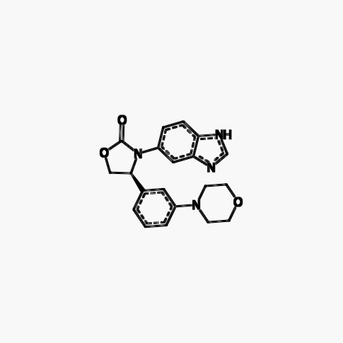 O=C1OC[C@H](c2cccc(N3CCOCC3)c2)N1c1ccc2[nH]cnc2c1